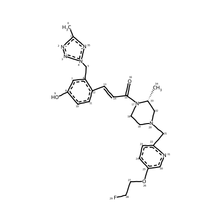 Cc1nnn(Cc2cc(O)ccc2C=CC(=O)N2CCN(Cc3ccc(OCCF)cn3)C[C@H]2C)n1